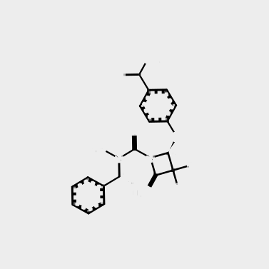 CCCN(C(=O)N1C(=O)C(CC)(CC)[C@@H]1Oc1ccc(C(C)O)cc1)[C@H](C)c1ccccc1